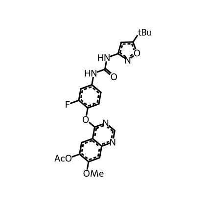 COc1cc2ncnc(Oc3ccc(NC(=O)Nc4cc(C(C)(C)C)on4)cc3F)c2cc1OC(C)=O